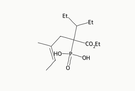 CC=C(C)CC(C(=O)OCC)(C(CC)CC)P(=O)(O)O